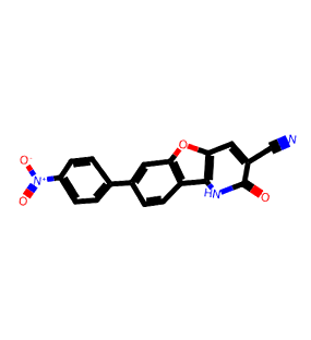 N#Cc1cc2oc3cc(-c4ccc([N+](=O)[O-])cc4)ccc3c2[nH]c1=O